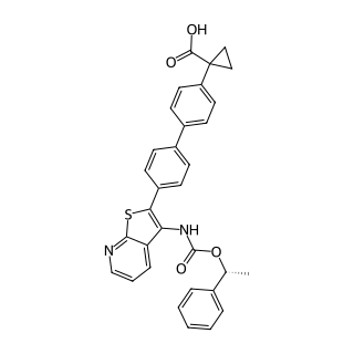 C[C@@H](OC(=O)Nc1c(-c2ccc(-c3ccc(C4(C(=O)O)CC4)cc3)cc2)sc2ncccc12)c1ccccc1